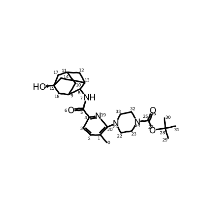 Cc1ccc(C(=O)NC2C3CC4CC2CC(O)(C4)C3)nc1N1CCN(C(=O)OC(C)(C)C)CC1